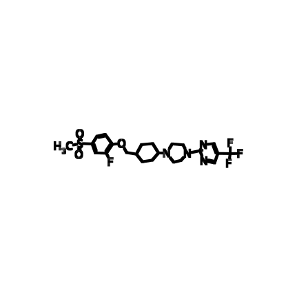 CS(=O)(=O)c1ccc(OCC2CCC(N3CCN(c4ncc(C(F)(F)F)cn4)CC3)CC2)c(F)c1